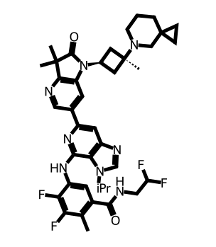 Cc1c(C(=O)NCC(F)F)cc(Nc2nc(-c3cnc4c(c3)N([C@H]3C[C@@](C)(N5CCCC6(CC6)C5)C3)C(=O)C4(C)C)cc3ncn(C(C)C)c23)c(F)c1F